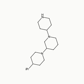 CC(C)C1CCN(C2CCCN(C3CCNCC3)C2)CC1